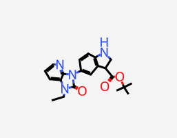 CCn1c(=O)n(-c2ccc3c(c2)C(C(=O)OC(C)(C)C)CN3)c2ncccc21